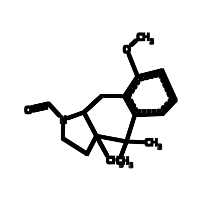 COc1cccc2c1CC1N(C=O)CCC1(C)C2(C)C